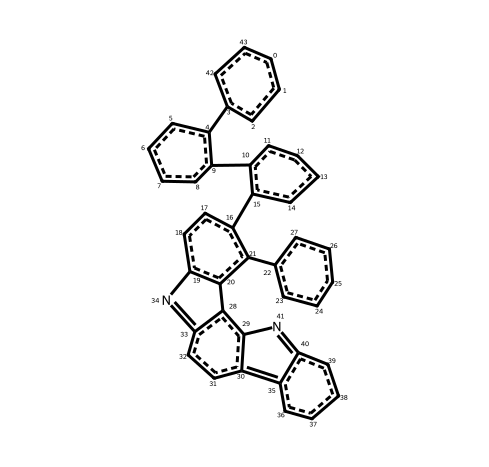 c1ccc(-c2ccccc2-c2ccccc2-c2ccc3c(c2-c2ccccc2)-c2c4c(ccc2=N3)=c2ccccc2=N4)cc1